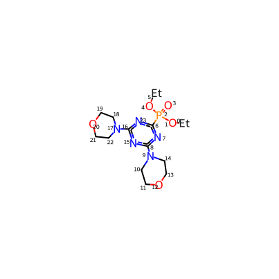 CCOP(=O)(OCC)c1nc(N2CCOCC2)nc(N2CCOCC2)n1